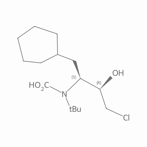 CC(C)(C)N(C(=O)O)[C@@H](CC1CCCCC1)[C@@H](O)CCl